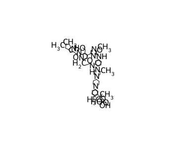 C=CC(=O)Nc1cc(Nc2nc(-c3ccnc(N4CCn5c(cc6c5CC(C)(C)C6)C4=O)c3CO)cnc2OC)ccc1N1CCN(C2CCN(c3ccc(F)c(C(C)(C)OP(=O)(O)O)c3)CC2)C[C@@H]1C